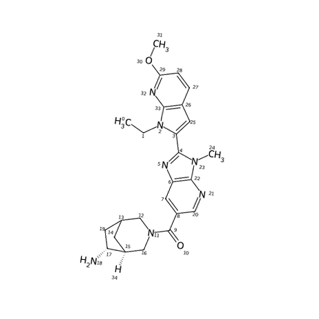 CCn1c(-c2nc3cc(C(=O)N4CC5C[C@@H](C4)[C@H](N)C5)cnc3n2C)cc2ccc(OC)nc21